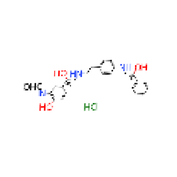 Cl.O=CNc1cc([C@@H](O)CNCCc2ccc(NC[C@@H](O)c3ccccc3)cc2)ccc1O